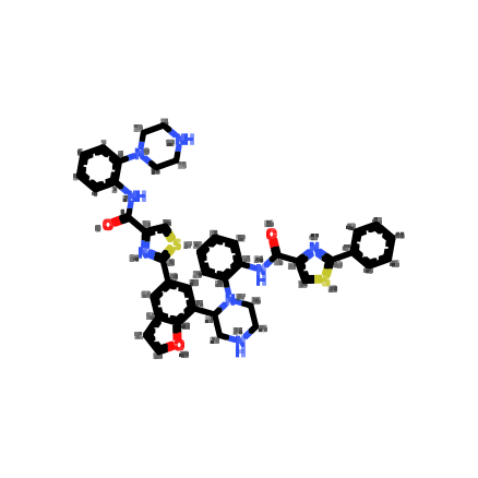 O=C(Nc1ccccc1N1CCNCC1)c1csc(-c2cc(C3CNCCN3c3ccccc3NC(=O)c3csc(-c4ccccc4)n3)c3occc3c2)n1